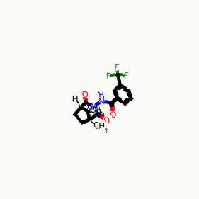 CC1(C)[C@H]2CC[C@]1(C)C(=O)N(NC(=O)c1cccc(C(F)(F)F)c1)C2=O